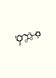 O=C1OC(c2cccs2)=NC1=Cc1cncc(F)c1